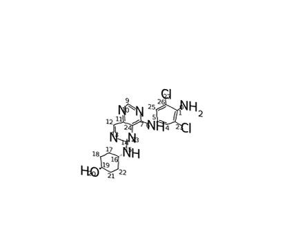 Nc1c(Cl)cc(Nc2ncnc3cnc(N[C@H]4CC[C@H](O)CC4)nc23)cc1Cl